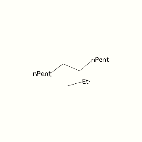 C[CH]C.[CH2]CCCCCCCCCCC